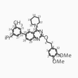 COc1ccc(CCOc2nc(N3CCCCC3)c3cc(-c4cc(C)cc(C(C)C)c4)ccc3n2)cc1OC